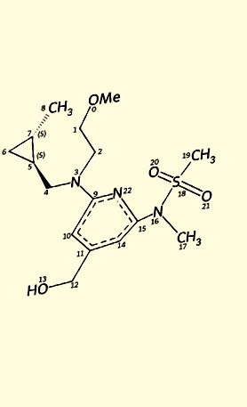 COCCN(C[C@H]1C[C@@H]1C)c1cc(CO)cc(N(C)S(C)(=O)=O)n1